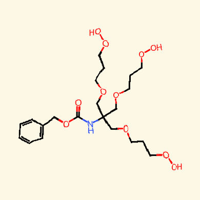 O=C(NC(COCCCOO)(COCCCOO)COCCCOO)OCc1ccccc1